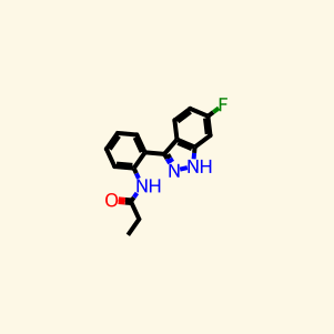 CCC(=O)Nc1ccccc1-c1n[nH]c2cc(F)ccc12